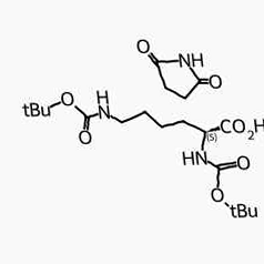 CC(C)(C)OC(=O)NCCCC[C@H](NC(=O)OC(C)(C)C)C(=O)O.O=C1CCC(=O)N1